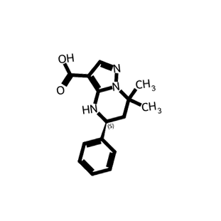 CC1(C)C[C@@H](c2ccccc2)Nc2c(C(=O)O)cnn21